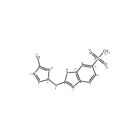 CCc1ncn(Sc2nc3ccc(S(C)(=O)=O)cc3s2)n1